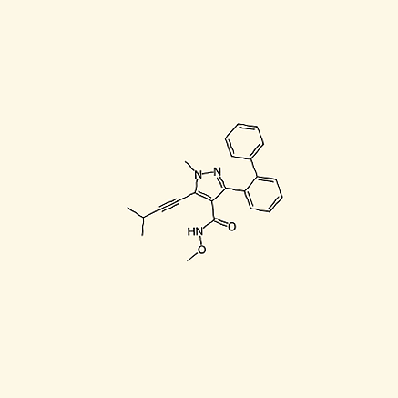 CONC(=O)c1c(-c2ccccc2-c2ccccc2)nn(C)c1C#CC(C)C